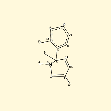 CC1=CN(C)C(C)(c2ccccc2C)C=C1